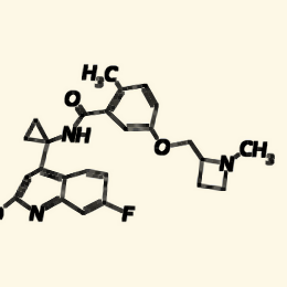 Cc1ccc(OCC2CCN2C)cc1C(=O)NC1(c2cc(O)nc3cc(F)ccc23)CC1